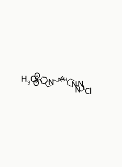 CS(=O)(=O)c1ccc2c(c1)CCN2CC[C@@H]1C[C@@H]1C1CCN(c2ncc(Cl)cn2)CC1